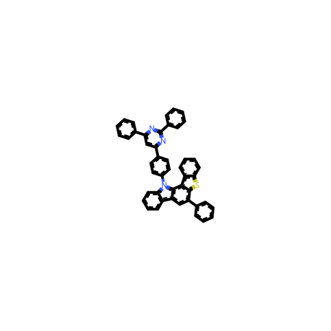 c1ccc(-c2cc(-c3ccc(-n4c5ccccc5c5cc(-c6ccccc6)c6sc7ccccc7c6c54)cc3)nc(-c3ccccc3)n2)cc1